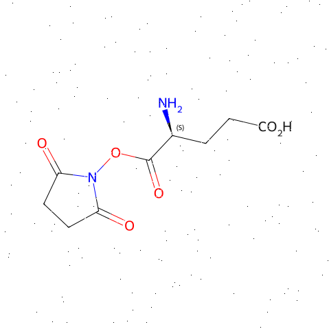 N[C@@H](CCC(=O)O)C(=O)ON1C(=O)CCC1=O